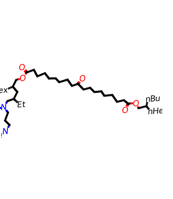 CCCCCCC(CCCC)COC(=O)CCCCCCCCC(=O)CCCCCCCCC(=O)OCC(CCCCCC)CC(CC)CN(C)CCCN